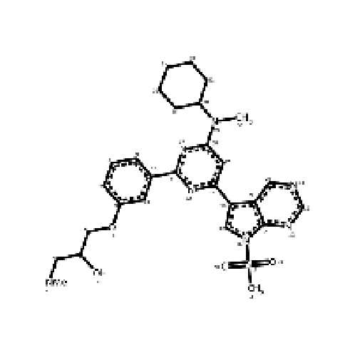 CNCC(O)COc1cccc(-c2nc(-c3cn(S(C)(=O)=O)c4ncncc34)cc(N(C)C3CCCCC3)n2)c1